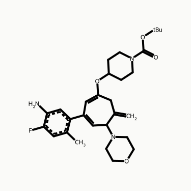 C=C1CC(OC2CCN(C(=O)OC(C)(C)C)CC2)=CC(c2cc(N)c(F)cc2C)=CC1N1CCOCC1